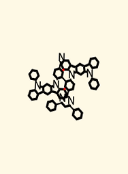 N#Cc1ccc(-n2c3ccccc3c3cc4c5ccccc5n(-c5ccccc5)c4cc32)c(-c2cc(-c3nc(-c4ccccc4)cc(-c4ccccc4)n3)ccc2-n2c3ccccc3c3cc4c5ccccc5n(-c5ccccc5)c4cc32)c1